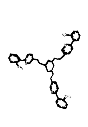 Cc1ccccc1-c1ccc(CCC2CC(CCc3ccc(-c4ccccc4C)nc3)CC(CCc3ccc(-c4ccccc4C)nc3)C2)cn1